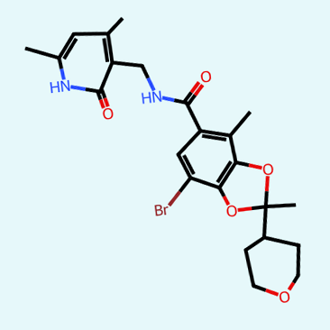 Cc1cc(C)c(CNC(=O)c2cc(Br)c3c(c2C)OC(C)(C2CCOCC2)O3)c(=O)[nH]1